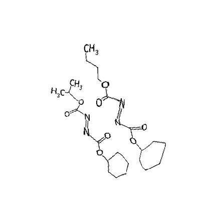 CC(C)OC(=O)N=NC(=O)OC1CCCCC1.CCCCOC(=O)N=NC(=O)OC1CCCCC1